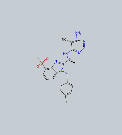 C[C@H](Nc1ncnc(N)c1C#N)c1nc2c(S(C)(=O)=O)cccc2n1Cc1ccc(F)cc1